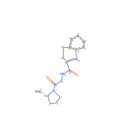 O=C[C@H]1CCCN1C(=O)CNC(=O)C1=Nc2ccccc2CC1